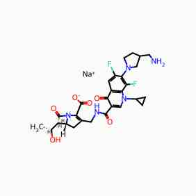 C[C@@H](O)[C@@H]1C(=O)N2C(C(=O)[O-])=C(CNC(=O)c3cn(C4CC4)c4c(F)c(N5CCC(CN)C5)c(F)cc4c3=O)C[C@H]12.[Na+]